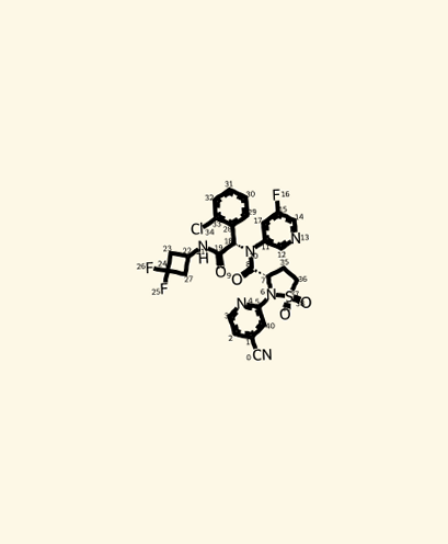 N#Cc1ccnc(N2[C@H](C(=O)N(c3cncc(F)c3)[C@H](C(=O)NC3CC(F)(F)C3)c3ccccc3Cl)CCS2(=O)=O)c1